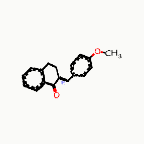 COc1ccc(/C=C2\CCc3ccccc3C2=O)cc1